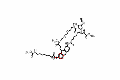 CN(CCOCCOCCN(C)C(=O)[C@@H]1CC(N=[N+]=[N-])CN1)C(=O)CCC12c3cc(N)ccc3C(c3ccc(NC(=O)CCCCCCCNC(=O)OC(C)(C)C)cc31)c1ccc(NC(=O)CCCCCCCNC(=O)OC(C)(C)C)cc12